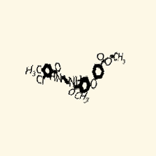 CCOC(=O)[C@H]1CC[C@@H](Oc2ccc(C(=O)NCCNC(=O)c3ccc(C)c(Cl)c3)c(C)c2)CC1